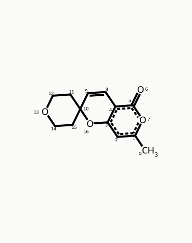 Cc1cc2c(c(=O)o1)C=CC1(CCOCC1)O2